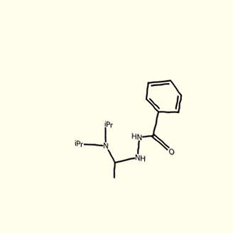 CC(C)N(C(C)C)C(C)NNC(=O)c1ccccc1